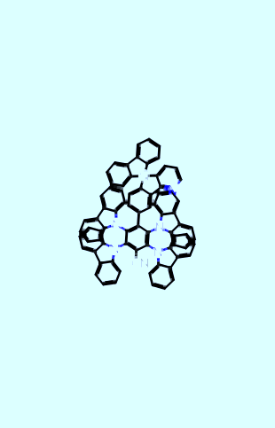 N#Cc1c(-n2c3ccccc3c3ccccc32)c(-n2c3ccccc3c3ccccc32)c(-c2ccc3c(c2)-c2ncccc2[Si]32c3ccccc3-c3ccccc32)c(-n2c3ccccc3c3ccccc32)c1-n1c2ccccc2c2ccccc21